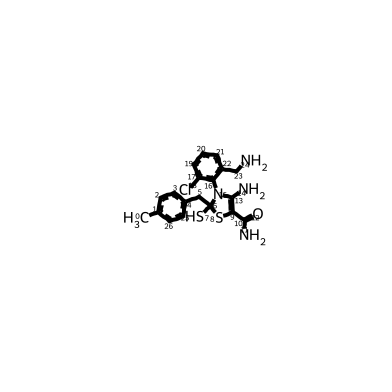 Cc1ccc(CC2(S)SC(C(N)=O)=C(N)N2c2c(Cl)cccc2CN)cc1